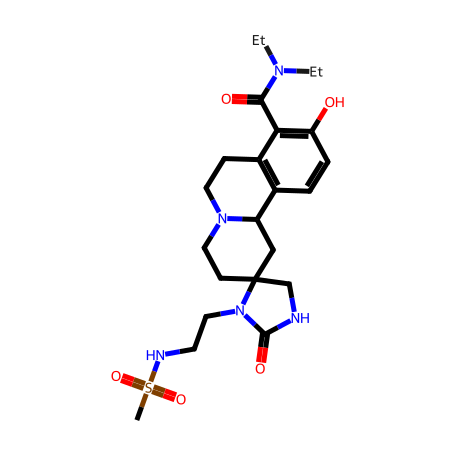 CCN(CC)C(=O)c1c(O)ccc2c1CCN1CCC3(CNC(=O)N3CCNS(C)(=O)=O)CC21